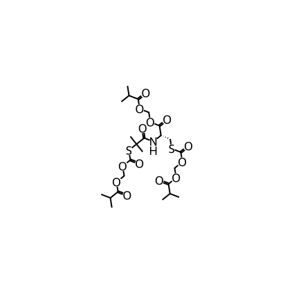 CC(C)C(=O)OCOC(=O)SC[C@H](NC(=O)C(C)(C)SC(=O)OCOC(=O)C(C)C)C(=O)OCOC(=O)C(C)C